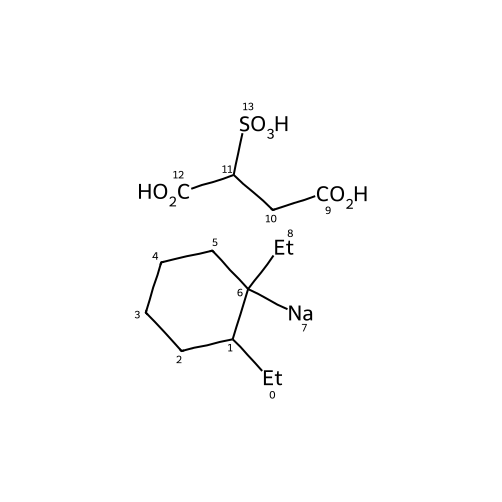 CCC1CCCC[C]1([Na])CC.O=C(O)CC(C(=O)O)S(=O)(=O)O